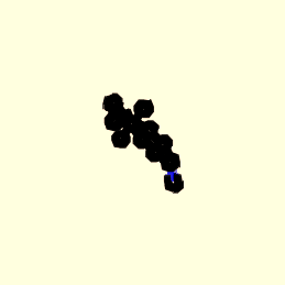 c1ccc(-c2c3cc4c5ccccc5c5cccc(c3c(-c3ccccc3)c3c6ccc7c8ccc9c%10c(ccc(c%11ccc(c23)c6c%117)c%108)-c2ccc(N3CCCCC3)cc2-9)c54)cc1